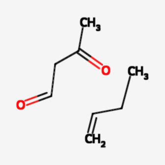 C=CCC.CC(=O)CC=O